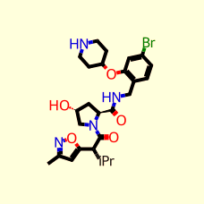 Cc1cc(C(C(=O)N2C[C@H](O)C[C@H]2C(=O)NCc2ccc(Br)cc2OC2CCNCC2)C(C)C)on1